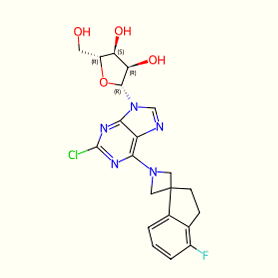 OC[C@H]1O[C@@H](n2cnc3c(N4CC5(CCc6c(F)cccc65)C4)nc(Cl)nc32)[C@H](O)[C@@H]1O